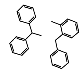 CC(c1ccccc1)c1ccccc1.Cc1ccccc1Cc1ccccc1